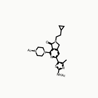 CC(=O)Nc1nc(C)c(-c2cc3c(c(N4CCN(C(C)=O)CC4)n2)C(=O)N(CCC2CC2)C3)s1